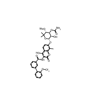 CO[C@@H]1[C@@H](OC(N)=O)[C@@H](O)[C@H](Oc2ccc3c(O)c(NC(=O)c4cccc(-c5ccccc5OC(F)(F)F)c4)c(=O)oc3c2C)OC1(C)C